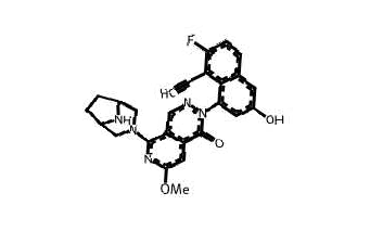 C#Cc1c(F)ccc2cc(O)cc(-n3ncc4c(N5CC6CCC(C5)N6)nc(OC)cc4c3=O)c12